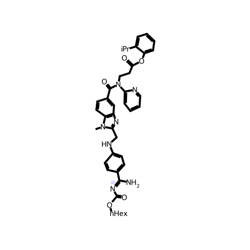 CCCCCCOC(=O)/N=C(\N)c1ccc(NCc2nc3cc(C(=O)N(CCC(=O)Oc4ccccc4C(C)C)c4ccccn4)ccc3n2C)cc1